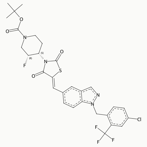 CC(C)(C)OC(=O)N1CC[C@H](N2C(=O)SC(=Cc3ccc4c(cnn4Cc4ccc(Cl)cc4C(F)(F)F)c3)C2=O)[C@H](F)C1